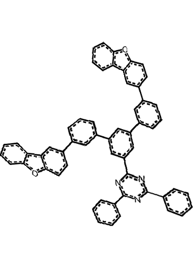 c1ccc(-c2nc(-c3ccccc3)nc(-c3cc(-c4cccc(-c5ccc6oc7ccccc7c6c5)c4)cc(-c4cccc(-c5ccc6oc7ccccc7c6c5)c4)c3)n2)cc1